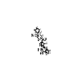 Cc1c(C(=O)N2CCC(C#N)(c3ccccc3)CC2)cnn1-c1nc2ccsc2c(=O)[nH]1